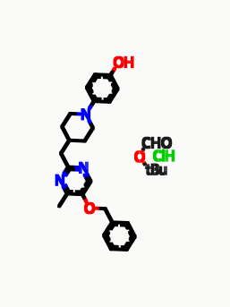 CC(C)(C)OC=O.Cc1nc(CC2CCN(c3ccc(O)cc3)CC2)ncc1OCc1ccccc1.Cl